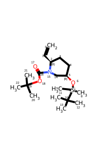 C=C[C@H]1CC[C@@H](O[Si](C)(C)C(C)(C)C)CN1C(=O)OC(C)(C)C